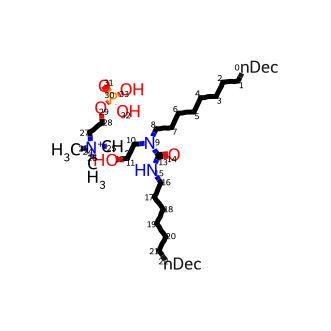 CCCCCCCCCCCCCCCCCCN(CCO)C(=O)NCCCCCCCCCCCCCCCC.C[N+](C)(C)CCOP(=O)(O)O